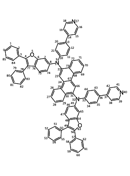 c1ccc(-c2oc3cc(N(c4ccc(-c5ccncc5)cc4)c4cc5c6ccccc6c(N(c6ccc(-c7ccncc7)cc6)c6ccc7c(-c8ccccc8)c(-c8ccccc8)oc7c6)cc5c5ccccc45)ccc3c2-c2ccccc2)cc1